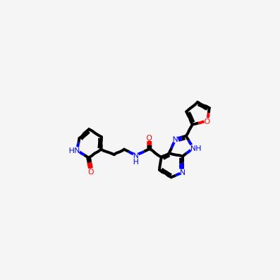 O=C(NCCc1ccc[nH]c1=O)c1ccnc2[nH]c(-c3ccco3)nc12